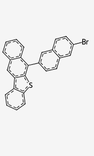 Brc1ccc2cc(-c3c4ccccc4cc4c3sc3ccccc34)ccc2c1